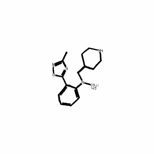 Cc1noc(-c2ccccc2N(CC2CCNCC2)C(=O)O)n1.Cl